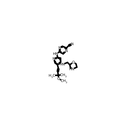 COC(C)(C)C#Cc1cnc(Nc2cnc(C#N)cn2)cc1NCC1CNCCO1